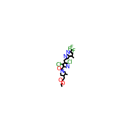 CCOC(=O)CC1CCN(C(=O)c2cnc(Cl)c(Cc3cc4c(C)cc(C(F)(F)F)nc4n3C)c2Cl)CC1C